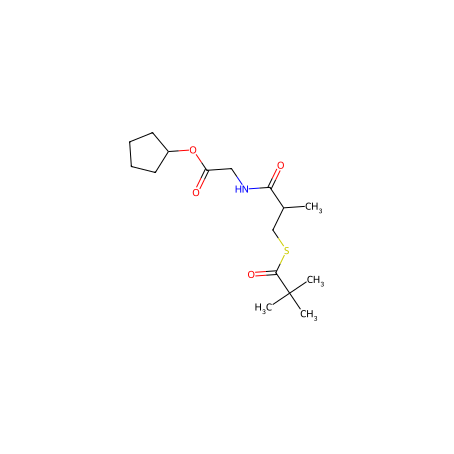 CC(CSC(=O)C(C)(C)C)C(=O)NCC(=O)OC1CCCC1